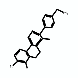 CCc1ccc2c(c1C)CCc1c-2ccc(-c2ccc(CP)cc2)c1C